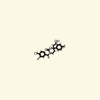 C[C@@H](c1ccc(Cl)c(F)c1)N1CCC(CCO)(c2ccc(F)cc2)OC1=O